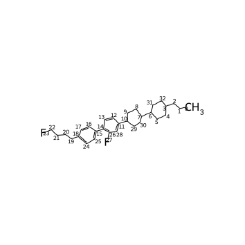 CCCC1CCC(C2CCC(c3ccc(-c4ccc(CCCCF)cc4)c(F)c3)CC2)CC1